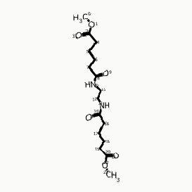 COC(=O)CCCCC(=O)NCCNC(=O)CCCCC(=O)OC